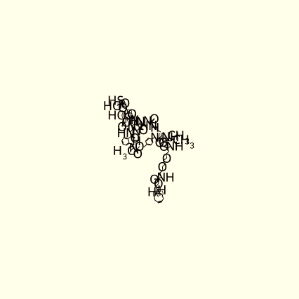 CC(C)C(NC(=O)CCOCCOCCNC(=O)OC[C@@H]1[C@@H]2CCC#CCC[C@@H]21)C(=O)N[C@@H](CCCNC(N)=O)C(=O)Nc1ccc(COC(=O)N(C)Cc2ccccc2C(=O)Nc2nc3c(ncn3[C@@H]3O[C@H](CO[P@](=O)(O)S)[C@@H](O)[C@H]3OC=O)c(=O)[nH]2)cc1